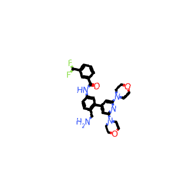 NCc1ccc(NC(=O)c2cccc(C(F)F)c2)cc1-c1cc(N2CCOCC2)nc(N2CCOCC2)c1